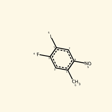 Cc1cc(F)c(I)cc1N=O